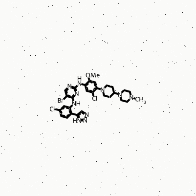 COc1cc(N2CCC(N3CCN(C)CC3)CC2)c(Cl)cc1Nc1ncc(Br)c(Nc2cc(Cl)ccc2-c2cnn[nH]2)n1